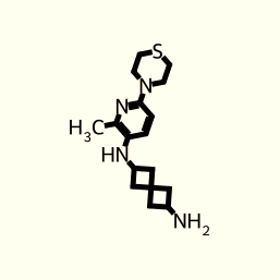 Cc1nc(N2CCSCC2)ccc1NC1CC2(CC(N)C2)C1